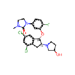 CN1CCN(c2ccc(F)c(O[C@H]3c4cc(Cl)cc(Cl)c4C[C@@H]3N3CCC(O)C3)c2)C1=O